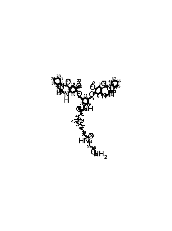 COc1cc2c(cc1OCc1cc(COc3cc4c(cc3OC)C(=O)N3c5ccccc5C[C@H]3CN4)cc(NC(=O)CCC(C)(C)SSCCCC(=O)NCCCON)c1)N=C[C@@H]1Cc3ccccc3N1C2=O